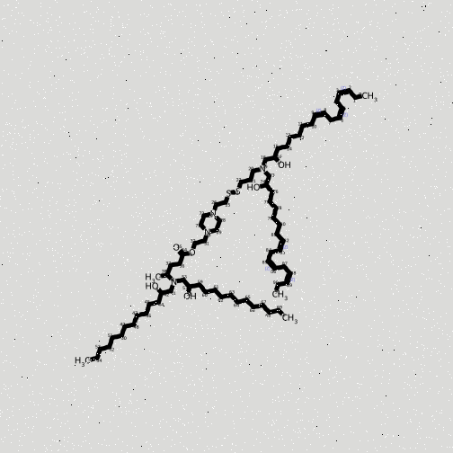 CC/C=C\C/C=C\C/C=C\CCCCCCC(O)CN(CCCSSCCN1CCN(CCOC(=O)CCC(C)N(CC(O)CCCCCCCCCCCC)CC(O)CCCCCCCCCCCC)CC1)CC(O)CCCCCC/C=C\C/C=C\C/C=C\CC